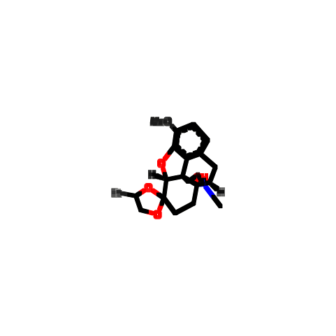 CCC1COC2(CCC3(O)[C@H]4Cc5ccc(OC)c6c5[C@@]3(CCN4C)[C@H]2O6)O1